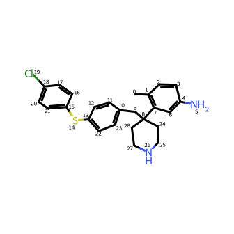 Cc1ccc(N)cc1C1(Cc2ccc(Sc3ccc(Cl)cc3)cc2)CCNCC1